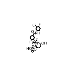 O=C(Nc1ccc(F)c(Cl)c1)c1ccc(F)c(S(=O)(=O)N2CC(O)CCC(OP(=O)(O)O)C2)c1